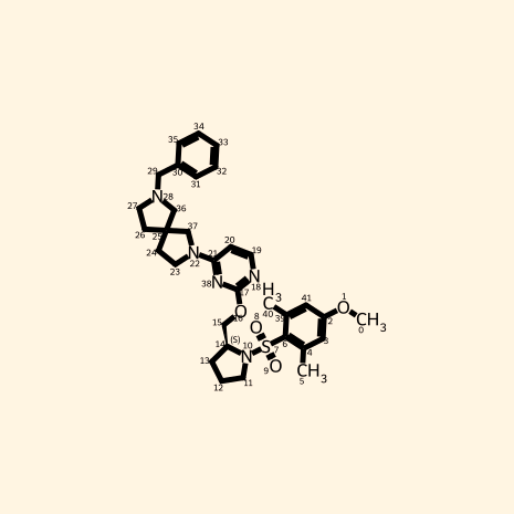 COc1cc(C)c(S(=O)(=O)N2CCC[C@H]2COc2nccc(N3CCC4(CCN(Cc5ccccc5)C4)C3)n2)c(C)c1